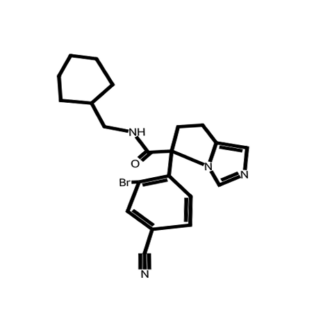 N#Cc1ccc(C2(C(=O)NCC3CCCCC3)CCc3cncn32)c(Br)c1